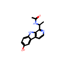 CC(=O)NC(C)c1nccc2c1[nH]c1ccc(O)cc12